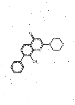 Cc1c(-c2ccccc2)ccc2c(=O)cc(N3CCOCC3)oc12